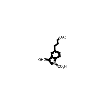 CC(=O)OCCCc1ccc2c(c1)c(C=O)cn2C(=O)O